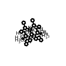 CC(C)(C)c1cc(N2c3cc(-c4nc(-c5cc(-c6ccccc6)cc(-c6ccccc6)c5)nc(-c5cc(-c6ccccc6)cc(-c6ccccc6)c5)n4)cc4c3B(c3ccc5c(ccc6ccccc65)c32)c2ccc3c(ccc5ccccc53)c2N4c2cc(C(C)(C)C)cc(C(C)(C)C)c2)cc(C(C)(C)C)c1